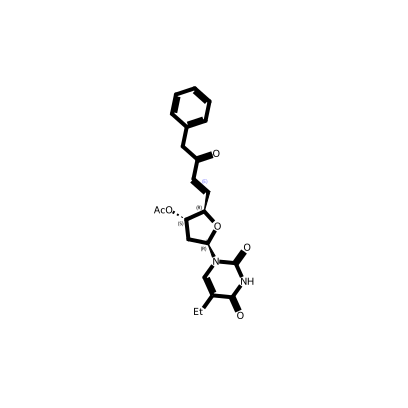 CCc1cn([C@H]2C[C@H](OC(C)=O)[C@@H](/C=C/C(=O)Cc3ccccc3)O2)c(=O)[nH]c1=O